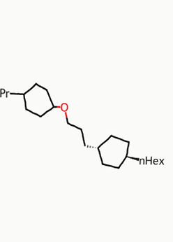 CCCCCC[C@H]1CC[C@H](CCCOC2CCC(CCC)CC2)CC1